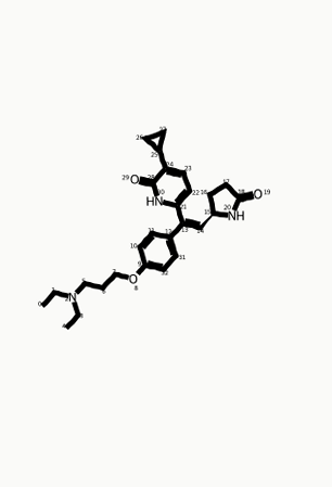 CCN(CC)CCCOc1ccc(C(=C[C@H]2CCC(=O)N2)c2ccc(C3CC3)c(=O)[nH]2)cc1